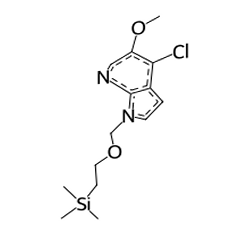 COc1cnc2c(ccn2COCC[Si](C)(C)C)c1Cl